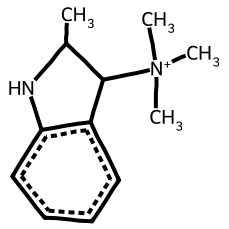 CC1Nc2ccccc2C1[N+](C)(C)C